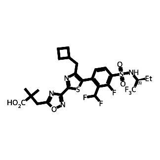 CC[C@H](NS(=O)(=O)c1ccc(-c2sc(-c3noc(CC(C)(C)C(=O)O)n3)nc2CC2CCC2)c(C(F)F)c1F)C(F)(F)F